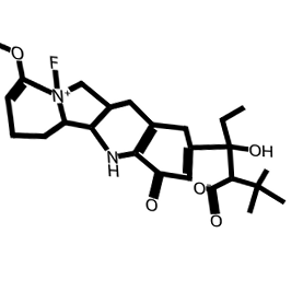 CCC(O)(C1=CC(=O)C2=C(C1)CC1C[N+]3(F)C(OC)=CCCC3C1N2)C(C(=O)[O-])C(C)(C)C